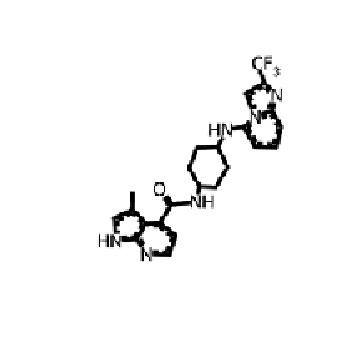 Cc1c[nH]c2nccc(C(=O)NC3CCC(Nc4cccc5nc(C(F)(F)F)cn45)CC3)c12